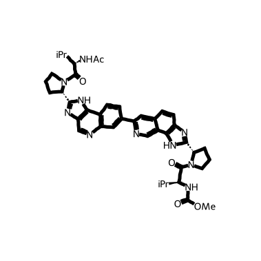 COC(=O)N[C@H](C(=O)N1CCC[C@H]1c1nc2ccc3cc(-c4ccc5c(c4)ncc4nc([C@@H]6CCCN6C(=O)[C@@H](NC(C)=O)C(C)C)[nH]c45)ncc3c2[nH]1)C(C)C